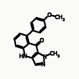 COc1ccc(-c2cccc3[nH]c4cnn(C)c4c(=O)c23)cc1